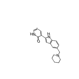 O=c1[nH]c[c]cc1-c1cc2cc(CN3CCCCC3)ccc2[nH]1